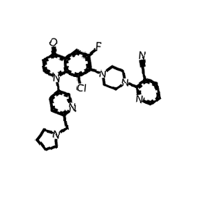 N#Cc1cccnc1N1CCN(c2c(F)cc3c(=O)ccn(-c4ccc(CN5CCCC5)nc4)c3c2Cl)CC1